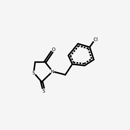 O=C1CSC(=S)N1Cc1ccc(Cl)cc1